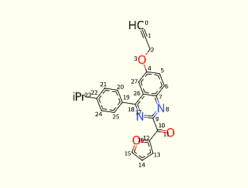 C#CCOc1ccc2nc(C(=O)c3ccco3)nc(-c3ccc(C(C)C)cc3)c2c1